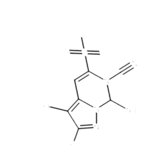 Cc1nn2c(c1Cl)C=C(S(C)(=O)=O)N(C#N)C2N